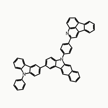 c1ccc(-n2c3ccccc3c3cc(-c4ccc5c(c4)c4cc6ccccc6cc4n5-c4ccc(-c5cc6c7c(cccc7n5)-c5ccccc5-6)cc4)ccc32)cc1